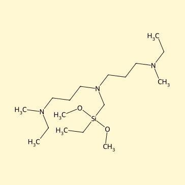 CCN(C)CCCN(CCCN(C)CC)C[Si](CC)(OC)OC